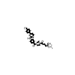 CN(C)CCCC(=O)N1CCN(C(=O)c2ccc(Nc3nccc(-c4ccc(Cl)cc4)n3)cc2)CC1